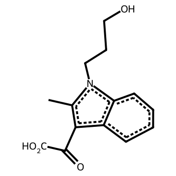 Cc1c(C(=O)C(=O)O)c2ccccc2n1CCCO